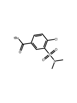 CN(C)S(=O)(=O)c1cc(C(=O)C(C)(C)C)ccc1Cl